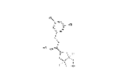 Cl.O=C(CCc1cc(Cl)cc(Cl)c1)N1C[C@H]2CNC[C@H]2C1